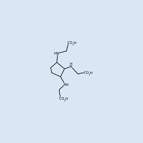 O=C(O)CNC1CCC(NCC(=O)O)C1NCC(=O)O